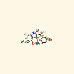 COC(=O)c1c(C(F)F)nc(C(F)(F)F)c(C(S)c2cccc(Br)c2)c1CC(C)C